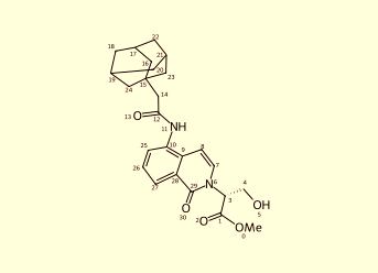 COC(=O)[C@@H](CO)n1ccc2c(NC(=O)CC34CC5CC(CC(C5)C3)C4)cccc2c1=O